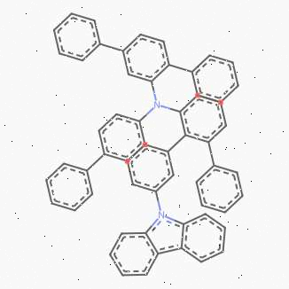 c1ccc(-c2ccc(N(c3cc(-c4ccccc4)ccc3-c3ccccc3)c3cccc(-c4ccccc4)c3-c3cccc(-n4c5ccccc5c5ccccc54)c3)cc2)cc1